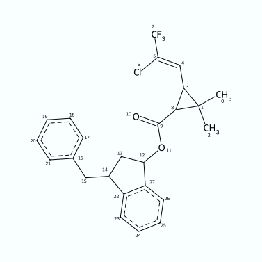 CC1(C)C(C=C(Cl)C(F)(F)F)C1C(=O)OC1CC(Cc2ccccc2)c2ccccc21